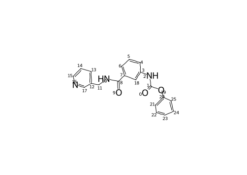 O=C(Nc1cccc(C(=O)NCc2cccnc2)c1)Oc1ccccc1